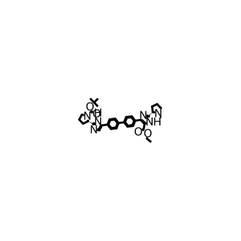 CCOC(=O)c1[nH]c([C@@H]2CCCN2C)nc1-c1ccc(-c2ccc(-c3cnc([C@@H]4CCCN4C(=O)OC(C)(C)C)[nH]3)cc2)cc1